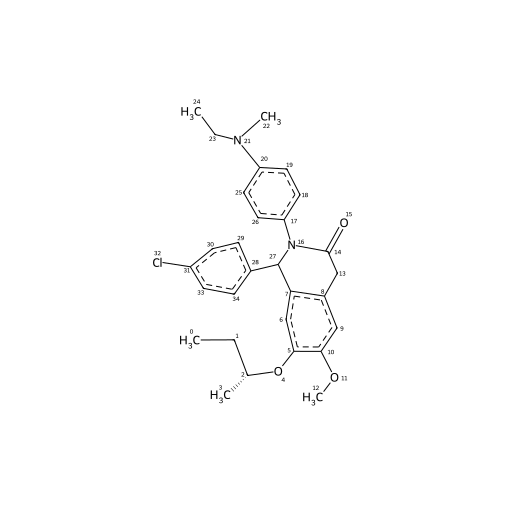 CC[C@@H](C)Oc1cc2c(cc1OC)CC(=O)N(c1ccc(N(C)CC)cc1)C2c1ccc(Cl)cc1